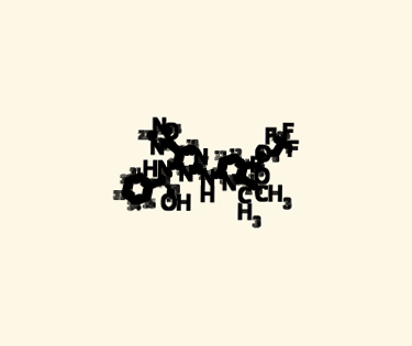 CC1(C)OB(OCC(F)(F)F)c2ccc(Nc3ncc(-c4ncno4)c(N[C@H](CO)c4ccccc4)n3)nc21